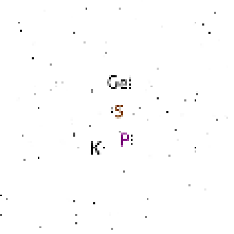 [Ge].[K].[P].[S]